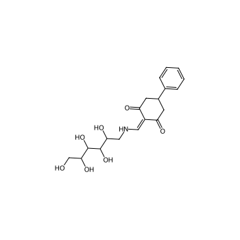 O=C1CC(c2ccccc2)CC(=O)C1=CNCC(O)C(O)C(O)C(O)CO